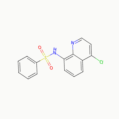 O=S(=O)(Nc1cccc2c(Cl)ccnc12)c1ccccc1